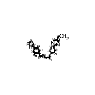 CCc1cnc(N2CCC([C@H]3C[C@H]3COCc3ccc(-c4cnccn4)cc3F)CC2)nc1